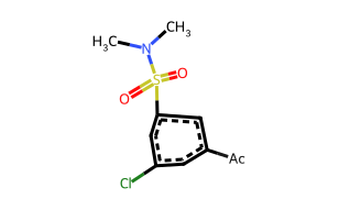 CC(=O)c1cc(Cl)cc(S(=O)(=O)N(C)C)c1